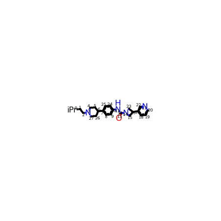 CC(C)CCN1CCC(c2ccc(NC(=O)N3CC(c4cccnc4)C3)cc2)CC1